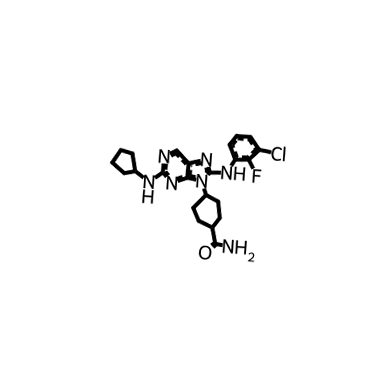 NC(=O)C1CCC(n2c(Nc3cccc(Cl)c3F)nc3cnc(NC4CCCC4)nc32)CC1